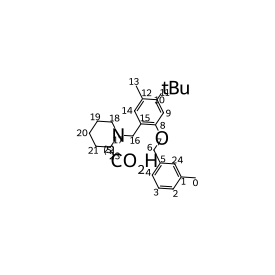 Cc1cccc(COc2cc(C(C)(C)C)c(C)cc2CN2CCCC[C@H]2C(=O)O)c1